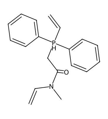 C=CN(C)C(=O)C[PH](C=C)(c1ccccc1)c1ccccc1